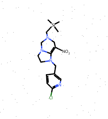 C[Si](C)(C)CN1CC([N+](=O)[O-])=C2N(Cc3ccc(Cl)nc3)CCN2C1